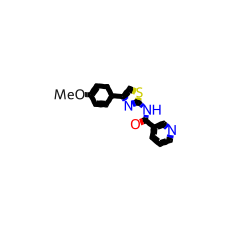 COC1=CCC(c2csc(NC(=O)c3cccnc3)n2)C=C1